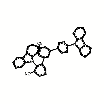 N#Cc1cc(-c2ccc(-n3c4ccccc4c4ccccc43)nc2)cc(-c2cccc(C#N)c2-n2c3ccccc3c3ccccc32)c1